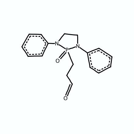 O=CCCP1(=O)N(c2ccccc2)CCN1c1ccccc1